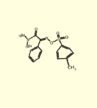 CCCCN(CCCC)C(=O)C(=NOS(=O)(=O)c1ccc(C)cc1)c1ccccc1